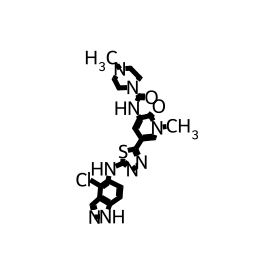 CN1CCN(C(=O)Nc2cc(-c3nnc(Nc4ccc5[nH]ncc5c4Cl)s3)cn(C)c2=O)CC1